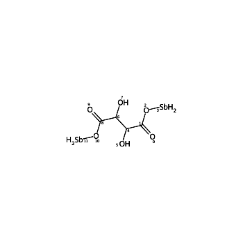 O=C([O][SbH2])C(O)C(O)C(=O)[O][SbH2]